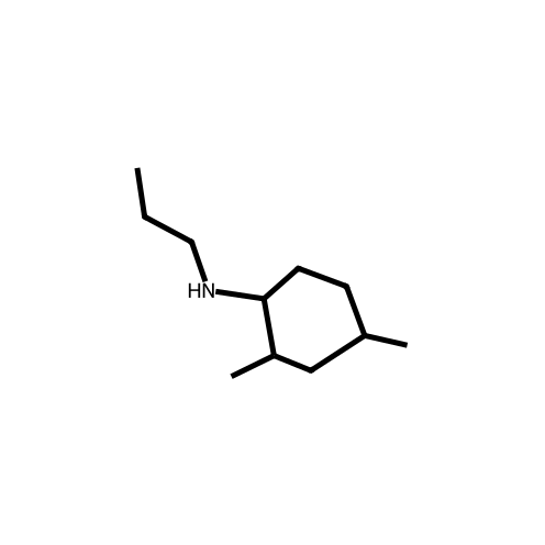 CCCNC1CCC(C)CC1C